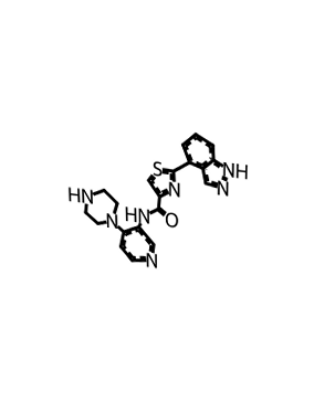 O=C(Nc1cnccc1N1CCNCC1)c1csc(-c2cccc3[nH]ncc23)n1